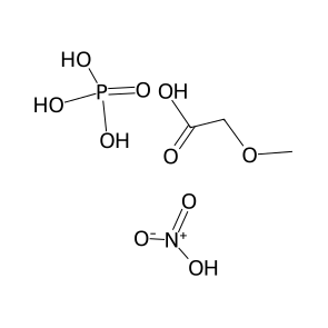 COCC(=O)O.O=P(O)(O)O.O=[N+]([O-])O